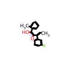 CC=c1/c(=C(/O)c2ccccc2C)oc2ccc(F)cc12